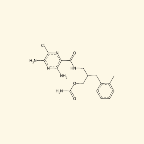 Cc1ccccc1CC(CNC(=O)c1nc(Cl)c(N)nc1N)COC(N)=O